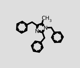 Cc1c(Cc2ccccc2)nc(Cc2ccccc2)n1Cc1ccccc1